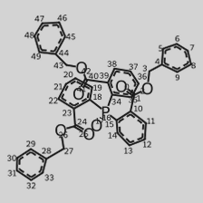 O=C(OCc1ccccc1)c1ccccc1P(=O)(c1ccccc1C(=O)OCc1ccccc1)c1ccccc1C(=O)OCc1ccccc1